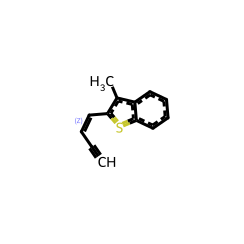 C#C/C=C\c1sc2ccccc2c1C